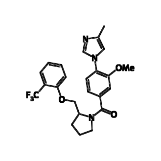 COc1cc(C(=O)N2CCCC2COc2ccccc2C(F)(F)F)ccc1-n1cnc(C)c1